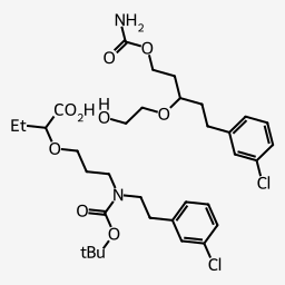 CCC(OCCCN(CCc1cccc(Cl)c1)C(=O)OC(C)(C)C)C(=O)O.NC(=O)OCCC(CCc1cccc(Cl)c1)OCCO